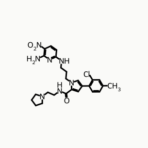 Cc1ccc(-c2cc(C(=O)NCCN3CCCC3)n(CCCNc3ccc([N+](=O)[O-])c(N)n3)c2)c(Cl)c1